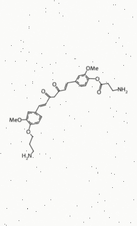 COc1cc(/C=C/C(=O)CC(=O)/C=C/c2ccc(OC(=O)CCN)c(OC)c2)ccc1OCCCN